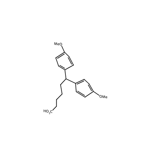 COc1ccc(C(CCCCC(=O)O)c2ccc(OC)cc2)cc1